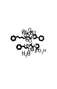 CCC(=O)OC(O[P@](=O)(CCCCc1ccccc1)CC(=O)N1C[C@H](C2CCCCC2)C[C@H]1C(=O)O)C(C)C.C[C@H](N[C@@H](CCc1ccccc1)C(=O)O)C(=O)N1CCC[C@H]1C(=O)O.O.O